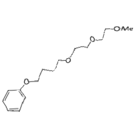 COCCOCCOCCCCOc1ccccc1